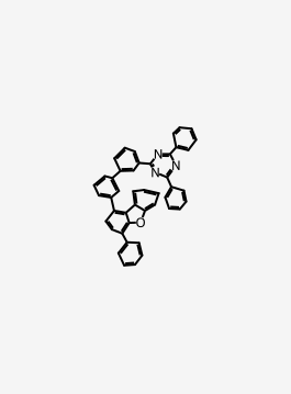 c1ccc(-c2nc(-c3ccccc3)nc(-c3cccc(-c4cccc(-c5ccc(-c6ccccc6)c6oc7ccccc7c56)c4)c3)n2)cc1